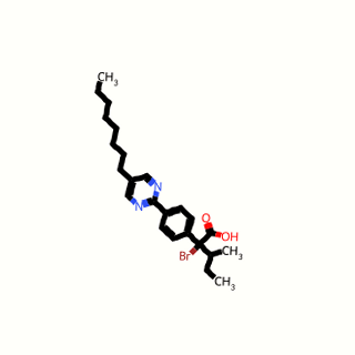 CCCCCCCCc1cnc(-c2ccc(C(Br)(C(=O)O)C(C)CC)cc2)nc1